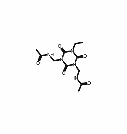 CCn1c(=O)n(CNC(C)=O)c(=O)n(CNC(C)=O)c1=O